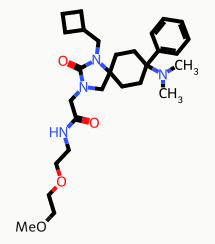 COCCOCCNC(=O)CN1CC2(CCC(c3ccccc3)(N(C)C)CC2)N(CC2CCC2)C1=O